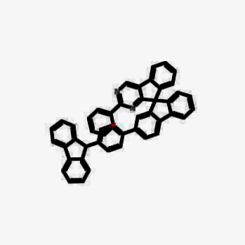 c1ccc(-c2ncc3c(n2)C2(c4ccccc4-c4ccc(-c5ccc(C6c7ccccc7-c7ccccc76)cc5)cc42)c2ccccc2-3)cc1